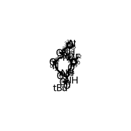 CN1CCC(=O)N2C[C@H](NC(=O)OC(C)(C)C)C[C@H]2COc2ccc(F)cc2C(=O)N(C)[C@H](C(=O)NCc2ccncc2)CCC1=O